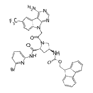 Nc1ncnc2c1c1cc(C(F)(F)F)ccc1n2CC(=O)N1C[C@@H](NC(=O)OCC2c3ccccc3-c3ccccc32)C[C@H]1C(=O)Nc1cccc(Br)n1